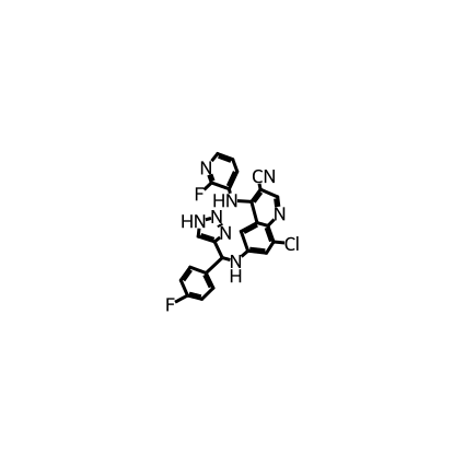 N#Cc1cnc2c(Cl)cc(NC(c3ccc(F)cc3)c3c[nH]nn3)cc2c1Nc1cccnc1F